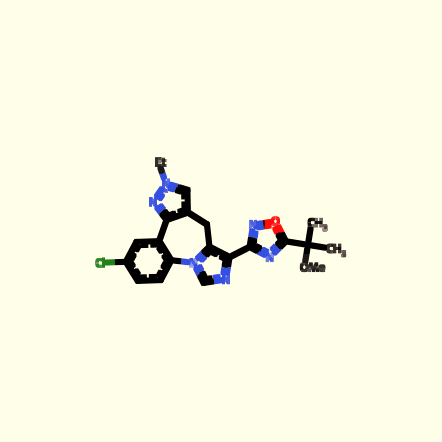 CCn1cc2c(n1)-c1cc(Cl)ccc1-n1cnc(-c3noc(C(C)(C)OC)n3)c1C2